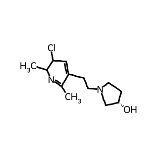 CC1=NC(C)C(Cl)C=C1CCN1CC[C@H](O)C1